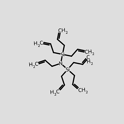 C=CCN([Si](CC=C)(CC=C)CC=C)[Si](CC=C)(CC=C)CC=C